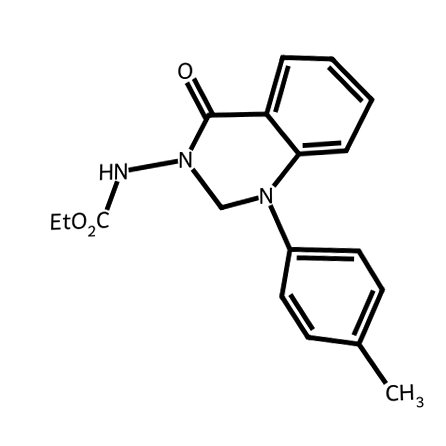 CCOC(=O)NN1CN(c2ccc(C)cc2)c2ccccc2C1=O